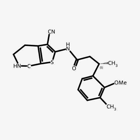 COc1c(C)cccc1[C@@H](C)CC(=O)Nc1sc2c(c1C#N)CCNC2